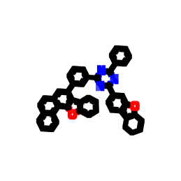 C1=Cc2oc3cc(-c4nc(-c5ccccc5)nc(-c5cccc(-c6cc7ccc8ccccc8c7c7oc8ccccc8c67)c5)n4)ccc3c2CC1